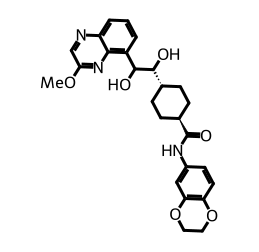 COc1cnc2cccc(C(O)C(O)[C@H]3CC[C@H](C(=O)Nc4ccc5c(c4)OCCO5)CC3)c2n1